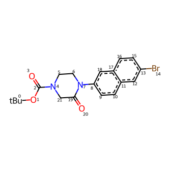 CC(C)(C)OC(=O)N1CCN(c2ccc3cc(Br)ccc3c2)C(=O)C1